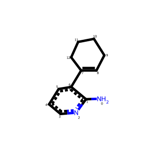 Nc1ncccc1C1=CCCCC1